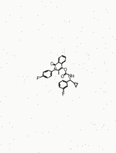 Cc1c(OC(=O)N[C@H](c2cccc(F)c2)C2CC2)c2ccccc2c(=O)n1-c1ccc(F)cc1